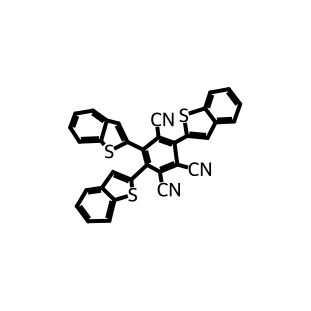 N#Cc1c(C#N)c(-c2cc3ccccc3s2)c(-c2cc3ccccc3s2)c(C#N)c1-c1cc2ccccc2s1